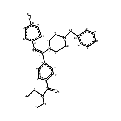 CCN(CC)C(=O)c1ccc(C(=Nc2ccc(Cl)cc2)N2CCN(Cc3ccccc3)CC2)cc1